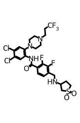 O=C(Nc1cc(Cl)c(Cl)cc1N1CCN(CCC(F)(F)F)CC1)c1ccc(CNC2CCS(=O)(=O)C2)c(F)c1F